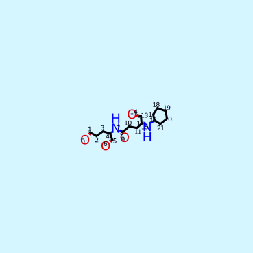 O=CCCC(C=O)NC(=O)CCC(C=O)NC1CCCCC1